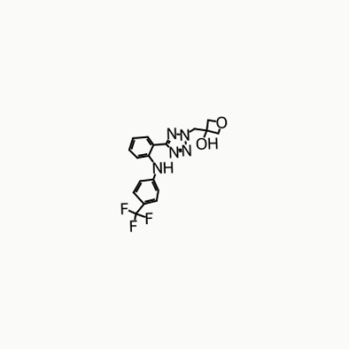 OC1(Cn2nnc(-c3ccccc3Nc3ccc(C(F)(F)F)cc3)n2)COC1